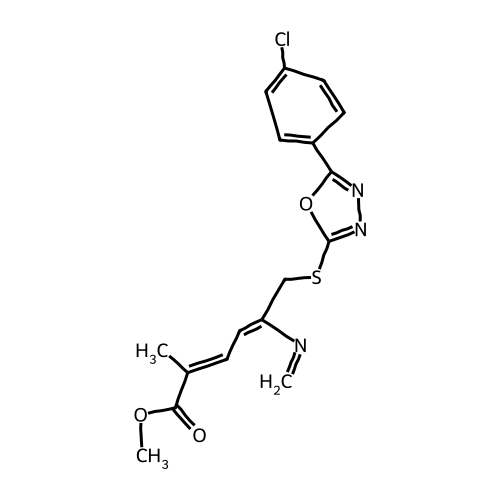 C=N/C(=C\C=C(/C)C(=O)OC)CSc1nnc(-c2ccc(Cl)cc2)o1